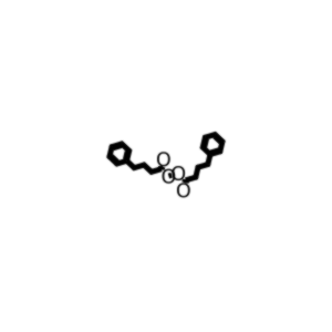 O=C(CCCc1ccccc1)OOC(=O)CCCc1ccccc1